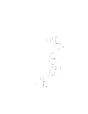 CC(=O)Nc1cncc(-c2ccc3nc(NC(=O)NCCc4noc(C(C)(C)C)n4)sc3c2)c1